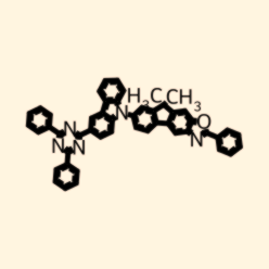 CC1(C)c2cc(-n3c4ccccc4c4cc(-c5nc(-c6ccccc6)nc(-c6ccccc6)n5)ccc43)ccc2-c2cc3nc(-c4ccccc4)oc3cc21